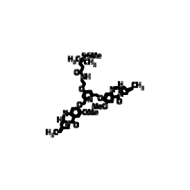 C/C=C1\C[C@H]2C=Nc3cc(OCc4cc(OCCNC(=O)CCC(C)(C)SSC)cc(COc5cc6c(cc5OC)C(=O)N5C/C(=C/C)C[C@H]5C=N6)n4)c(OC)cc3C(=O)N2C1